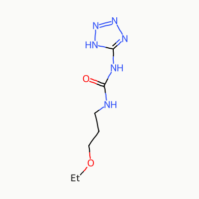 CCOCCCNC(=O)Nc1nnn[nH]1